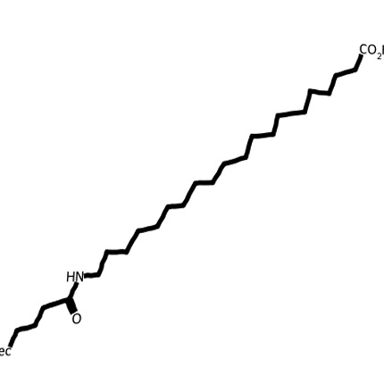 CCCCCCCCCCCCCC(=O)NCCCCCCCCCCCCCCCCCCCC(=O)O